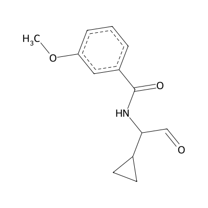 COc1cccc(C(=O)NC(C=O)C2CC2)c1